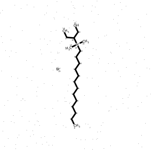 CCCCCCCCCCCCC[N+](C)(C)C(CC)CO.[Br-]